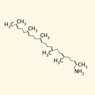 CC(C)=CCC/C(C)=C/CC/C(C)=C/CC/C=C(\C)CC/C=C(\C)CCC=C(C)CN